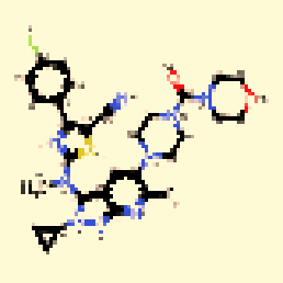 Cc1nc2nn(C3CC3)c(N(C)c3nc(-c4ccc(F)cc4)c(C#N)s3)c2cc1N1CCN(C(=O)N2CCOCC2)CC1